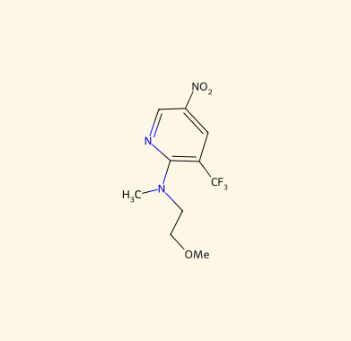 COCCN(C)c1ncc([N+](=O)[O-])cc1C(F)(F)F